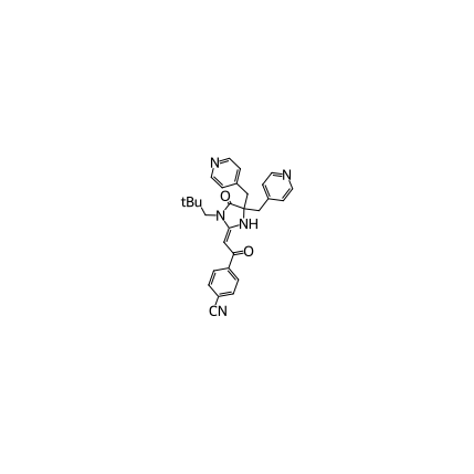 CC(C)(C)CN1C(=O)C(Cc2ccncc2)(Cc2ccncc2)N/C1=C\C(=O)c1ccc(C#N)cc1